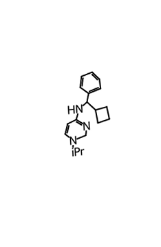 CC(C)N1C=CC(NC(c2ccccc2)C2CCC2)=NC1